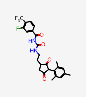 Cc1cc(C)c(C2C(=O)CC(CCNC(=O)NC(=O)c3ccc(C(F)(F)F)c(F)c3)C2=O)c(C)c1